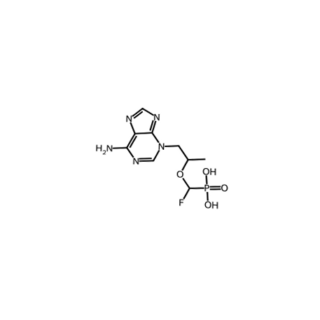 CC(Cn1cnc(N)c2ncnc1-2)OC(F)P(=O)(O)O